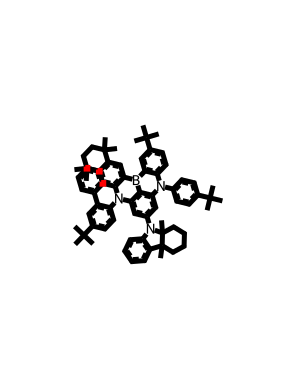 CC(C)(C)c1ccc(N2c3ccc(C(C)(C)C)cc3B3c4cc5c(cc4N(c4ccc(C(C)(C)C)cc4-c4ccccc4)c4cc(N6c7ccccc7C7(C)CCCCC67C)cc2c43)C(C)(C)CCC5(C)C)cc1